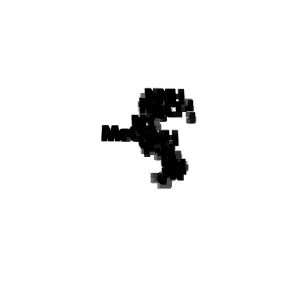 COc1ncc(-c2cc(C(F)(F)F)c3c(N)ncnn23)cc1C(=O)NC1CN(Cc2nnc(C3CC3)s2)CC1F